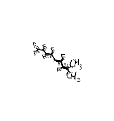 CC(C)=C(F)C(F)=CC(F)C(F)C(F)C(F)F